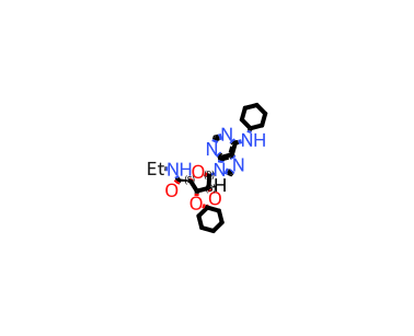 CCNC(=O)[C@H]1O[C@@H](n2cnc3c(NC4CCCCC4)ncnc32)[C@H]2OC3(CCCCC3)OC12